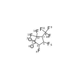 O=S1(=O)C(F)C(F)C(C(F)(F)F)C1(F)F